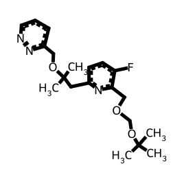 CC(C)(C)OCOCc1nc(CC(C)(C)OCc2cccnn2)ccc1F